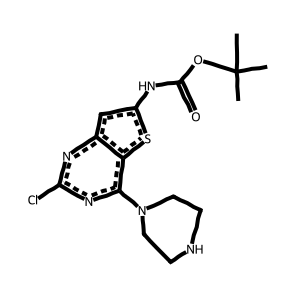 CC(C)(C)OC(=O)Nc1cc2nc(Cl)nc(N3CCNCC3)c2s1